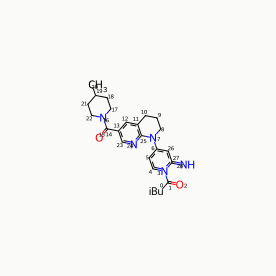 CCC(C)C(=O)n1ccc(N2CCCc3cc(C(=O)N4CCC(C)CC4)cnc32)cc1=N